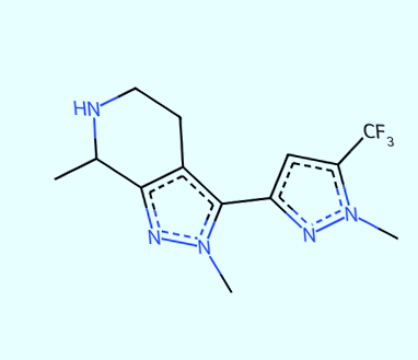 CC1NCCc2c1nn(C)c2-c1cc(C(F)(F)F)n(C)n1